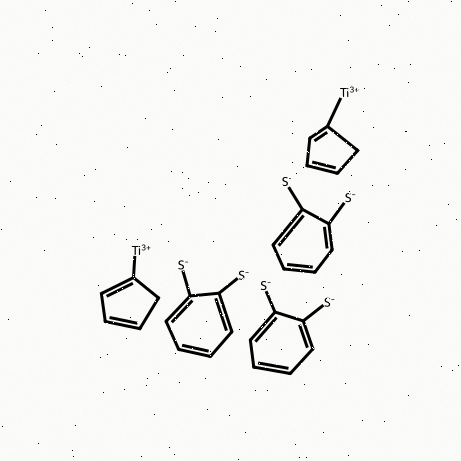 [S-]c1ccccc1[S-].[S-]c1ccccc1[S-].[S-]c1ccccc1[S-].[Ti+3][C]1=CC=CC1.[Ti+3][C]1=CC=CC1